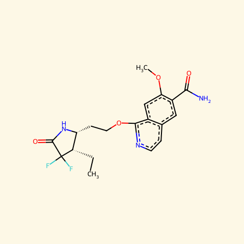 CC[C@H]1[C@@H](CCOc2nccc3cc(C(N)=O)c(OC)cc23)NC(=O)C1(F)F